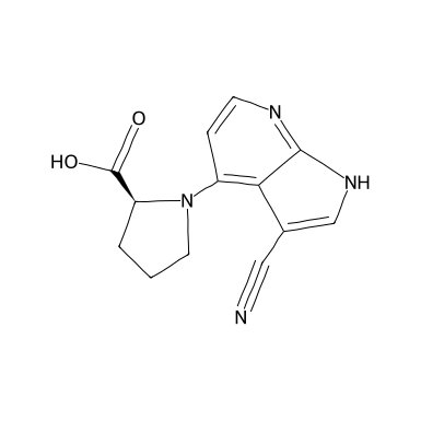 N#Cc1c[nH]c2nccc(N3CCC[C@H]3C(=O)O)c12